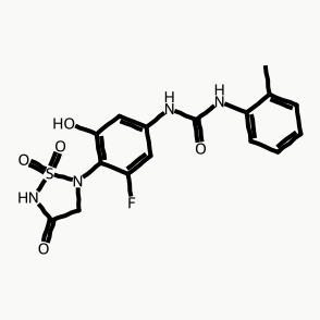 Cc1ccccc1NC(=O)Nc1cc(O)c(N2CC(=O)NS2(=O)=O)c(F)c1